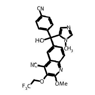 COc1nc2ccc(C(O)(c3ccc(C#N)cc3)c3cncn3C)cc2c(C#N)c1OCC(F)(F)F